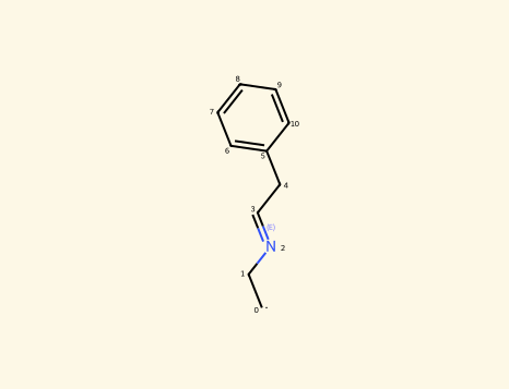 [CH2]C/N=C/Cc1ccccc1